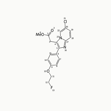 COC(=O)Cc1c(-c2ccc(OCCF)cc2)nc2ccc(Cl)cn12